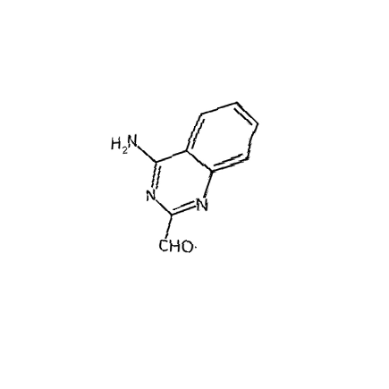 Nc1nc([C]=O)nc2ccccc12